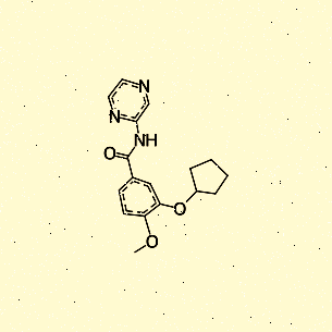 COc1ccc(C(=O)Nc2cnccn2)cc1OC1CCCC1